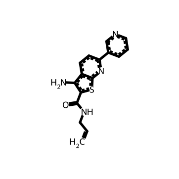 C=CCNC(=O)c1sc2nc(-c3cccnc3)ccc2c1N